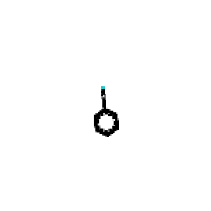 [F][Ni][c]1ccccc1